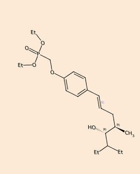 CCOP(=O)(COc1ccc(/C=C/C[C@@H](C)[C@@H](O)C(CC)CC)cc1)OCC